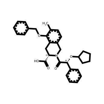 Cc1ccc2c(c1OCc1ccccc1)C[C@@H](C(=O)O)N(C(=O)[C@H](OC1CCCC1)c1ccccc1)C2